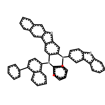 c1ccc(-c2ccc(N(c3ccccc3)c3cc4c(cc3N(c3ccccc3)c3ccc5sc6ccccc6c5c3)oc3cc5ccccc5cc34)c3ccccc23)cc1